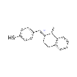 C=C1/C(=C/c2ccc(S)cc2)CCc2ccccc21